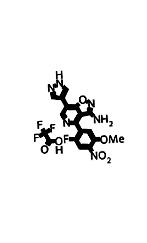 COc1cc(-c2ncc(-c3cn[nH]c3)c3onc(N)c23)c(F)cc1[N+](=O)[O-].O=C(O)C(F)(F)F